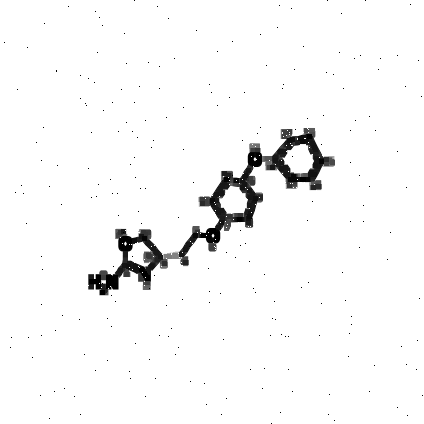 NC1=N[C@@H](CCOc2ccc(Oc3ccccc3)cc2)CO1